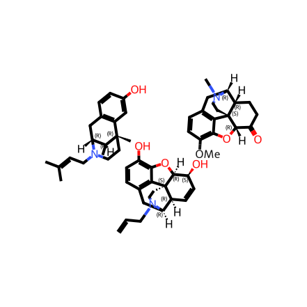 C=CCN1CC[C@]23c4c5ccc(O)c4O[C@H]2[C@@H](O)C=C[C@H]3[C@H]1C5.CC(C)=CCN1CC[C@@]2(C)c3cc(O)ccc3C[C@@H]1[C@@H]2C.COc1ccc2c3c1O[C@H]1C(=O)CC[C@H]4[C@@H](C2)N(C)CC[C@]314